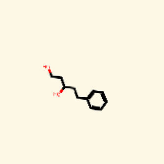 OCCC(O)CCc1ccccc1